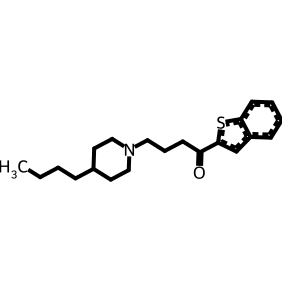 CCCCC1CCN(CCCC(=O)c2cc3ccccc3s2)CC1